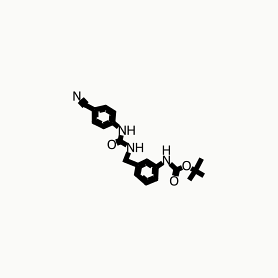 CC(C)(C)OC(=O)Nc1cccc(CNC(=O)Nc2ccc(C#N)cc2)c1